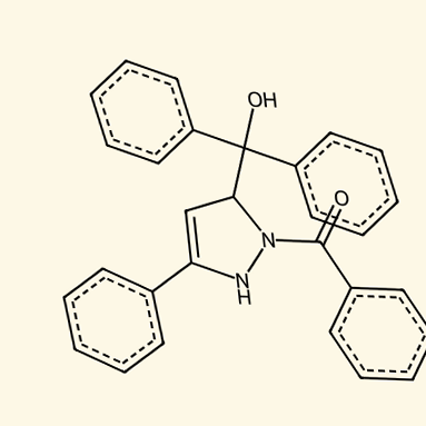 O=C(c1ccccc1)N1NC(c2ccccc2)=CC1C(O)(c1ccccc1)c1ccccc1